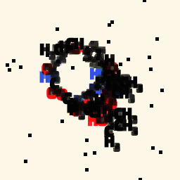 CC[C@H](C)[C@H]1NC(=O)[C@@H](NC(=O)[C@H](C)[C@H](O)C(C)C)[C@@H](C)OC(=O)[C@@H]2COC(=O)CNC(=O)/C=C/C(C)[C@@H](C)Oc3ccc(cc3)[C@H](NC1=O)C(=O)N(C)[C@@H](Cc1ccccc1)C(=O)N[C@H]([C@@H](C)O)C(=O)N2